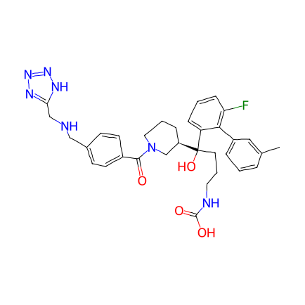 Cc1cccc(-c2c(F)cccc2C(O)(CCCNC(=O)O)[C@@H]2CCCN(C(=O)c3ccc(CNCc4nnn[nH]4)cc3)C2)c1